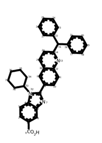 O=C(O)c1ccc2c(c1)nc(-c1ccc3nc(C(c4ccccc4)c4ccccc4)ccc3c1)n2C1CCCCC1